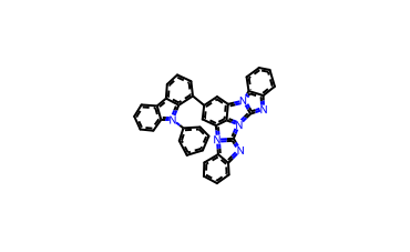 c1ccc(-n2c3ccccc3c3cccc(-c4cc5c6c(c4)n4c7ccccc7nc4n6c4nc6ccccc6n54)c32)cc1